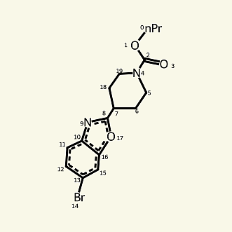 CCCOC(=O)N1CCC(c2nc3ccc(Br)cc3o2)CC1